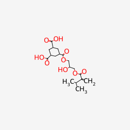 C=C(C(=O)OCC(O)COC(=O)C1CC(C(=O)O)CC(C(=O)O)C1)C(C)C